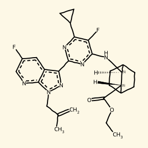 C=C(C)Cn1nc(-c2nc(N[C@H]3C4CCC(CC4)[C@@H]3C(=O)OCC)c(F)c(C3CC3)n2)c2cc(F)cnc21